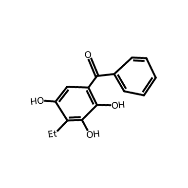 CCc1c(O)cc(C(=O)c2ccccc2)c(O)c1O